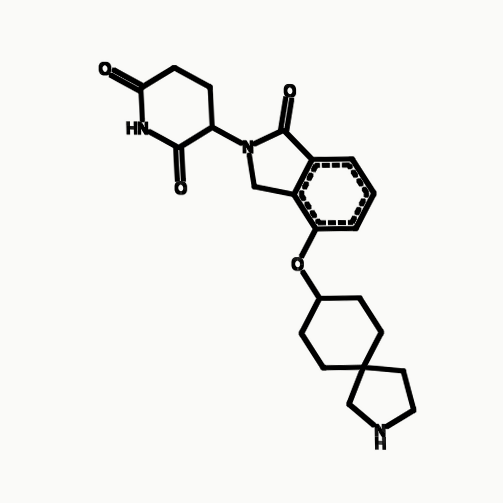 O=C1CCC(N2Cc3c(OC4CCC5(CCNC5)CC4)cccc3C2=O)C(=O)N1